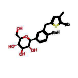 Cc1cc(Cc2cc([C@@H]3O[C@H](CO)[C@@H](O)[C@H](O)[C@H]3O)cc[c]2[RaH])s[c]1[Rb]